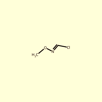 CON=CCl